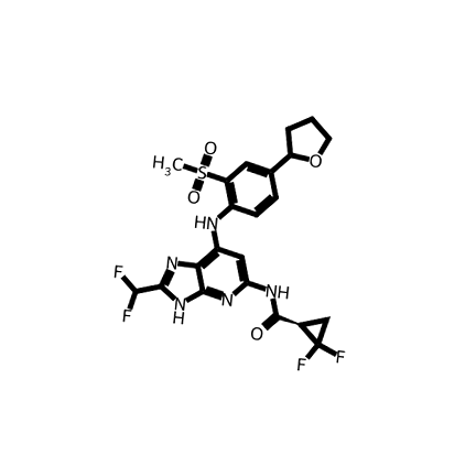 CS(=O)(=O)c1cc(C2CCCO2)ccc1Nc1cc(NC(=O)[C@H]2CC2(F)F)nc2[nH]c(C(F)F)nc12